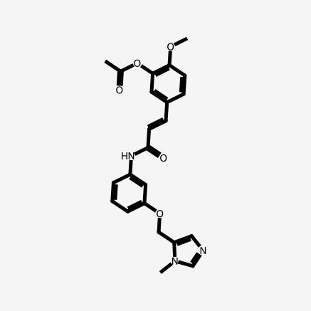 COc1ccc(C=CC(=O)Nc2cccc(OCc3cncn3C)c2)cc1OC(C)=O